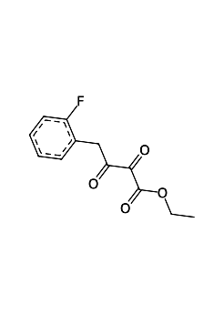 CCOC(=O)C(=O)C(=O)Cc1ccccc1F